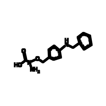 NN(OCc1ccc(NCc2ccccc2)cc1)C(=O)O